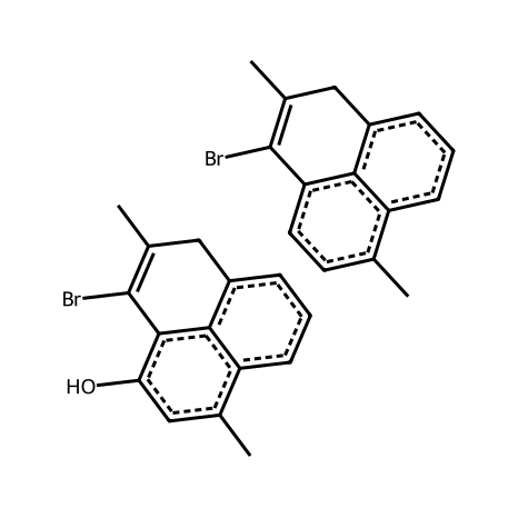 CC1=C(Br)c2c(O)cc(C)c3cccc(c23)C1.CC1=C(Br)c2ccc(C)c3cccc(c23)C1